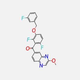 COc1cnc2ccc(C(=O)c3c(F)ccc(OCc4cccc(F)c4)c3F)cc2n1